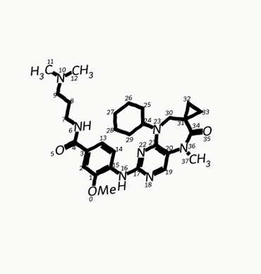 COc1cc(C(=O)NCCCN(C)C)ccc1Nc1ncc2c(n1)N(C1CCCCC1)CC1(CC1)C(=O)N2C